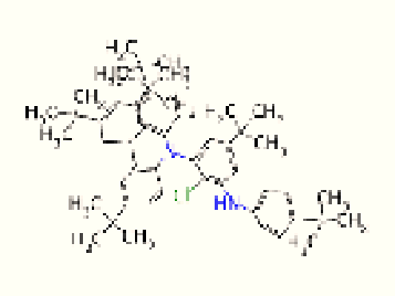 CC(C)(C)c1ccc(Nc2cc(C(C)(C)C)cc(N(c3ccc(C(C)(C)C)cc3)c3ccc(C(C)(C)C)cc3-c3cc(C(C)(C)C)cc(C(C)(C)C)c3)c2Cl)cc1